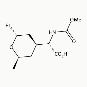 CC[C@@H]1C[C@@H]([C@H](NC(=O)OC)C(=O)O)C[C@@H](C)O1